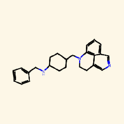 c1ccc(CNC2CCC(CN3CCc4cncc5cccc3c45)CC2)cc1